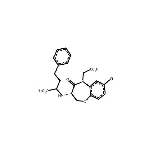 CCOC(=O)C(CCc1ccccc1)N[C@H]1COc2ccc(Cl)cc2N(CC(=O)O)C1=O